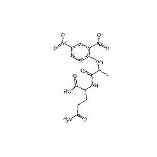 CC(Nc1ccc([N+](=O)[O-])cc1[N+](=O)[O-])C(=O)NC(CCC(N)=O)C(=O)O